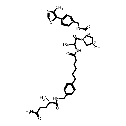 Cc1ncsc1-c1ccc(CNC(=O)[C@@H]2C[C@@H](O)CN2C(=O)C(NC(=O)CCCCCc2ccc(CNC(=O)[C@@H](N)CCC(N)=O)cc2)C(C)(C)C)cc1